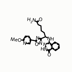 COc1ccc(-c2nc(C(CCCCC(N)=O)Nc3n[nH]c(=O)c4ccccc34)no2)cn1